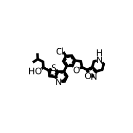 CC(C)CC(O)c1cc2nccc(-c3cc(Cl)cc4c3OC(c3onc5c3CNCC5)C4)c2s1